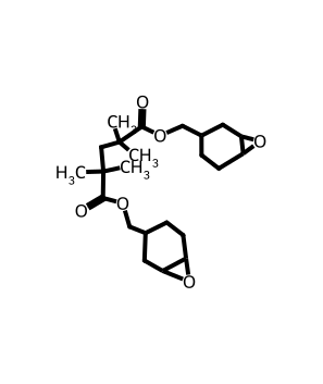 CC(C)(CC(C)(C)C(=O)OCC1CCC2OC2C1)C(=O)OCC1CCC2OC2C1